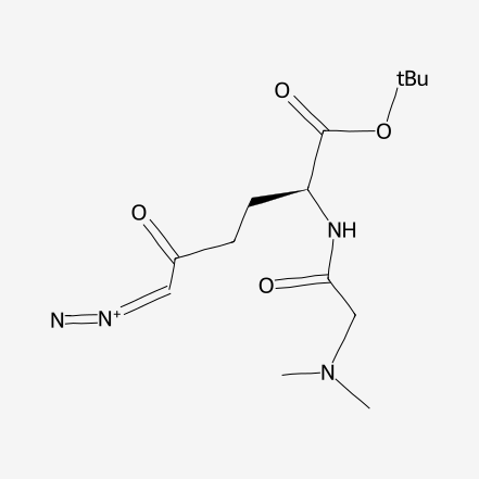 CN(C)CC(=O)N[C@@H](CCC(=O)C=[N+]=[N-])C(=O)OC(C)(C)C